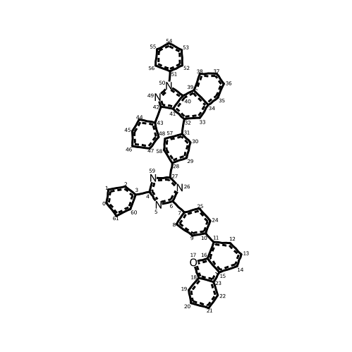 c1ccc(-c2nc(-c3ccc(-c4cccc5c4oc4ccccc45)cc3)nc(-c3ccc(-c4cc5ccccc5c5c4c(-c4ccccc4)nn5-c4ccccc4)cc3)n2)cc1